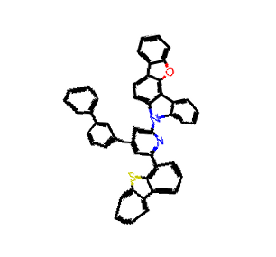 c1ccc(-c2cccc(-c3cc(-c4cccc5c4sc4ccccc45)nc(-n4c5ccccc5c5c6oc7ccccc7c6ccc54)c3)c2)cc1